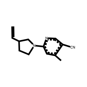 C=CC1CCN(c2cc(C)c(C#N)cn2)C1